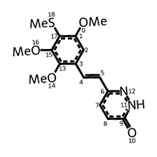 COc1cc(/C=C/c2ccc(=O)[nH]n2)c(OC)c(OC)c1SC